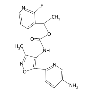 Cc1noc(-c2ccc(N)cn2)c1NC(=O)OC(C)c1cccnc1F